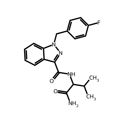 CC(C)C(NC(=O)c1nn(Cc2ccc(F)cc2)c2ccccc12)C(N)=O